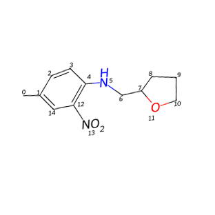 Cc1ccc(NCC2CCCO2)c([N+](=O)[O-])c1